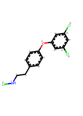 ClNCCc1ccc(Oc2cc(Cl)cc(Cl)c2)cc1